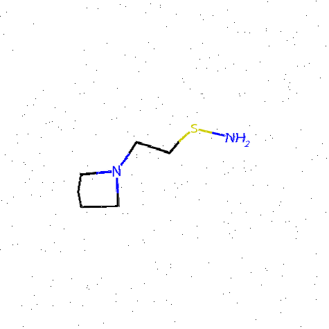 NSCCN1CCC1